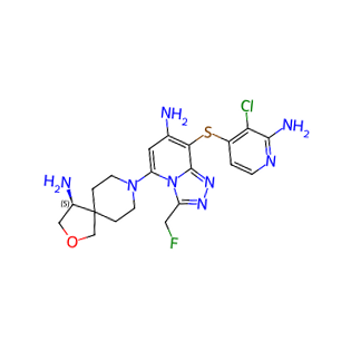 Nc1cc(N2CCC3(CC2)COC[C@H]3N)n2c(CF)nnc2c1Sc1ccnc(N)c1Cl